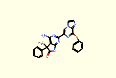 CC1(c2ccccc2)C(=O)Nc2nc(-c3cn4ccnc4c(Oc4ccccc4)n3)nc(N)c21